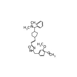 COc1ccc(Cc2noc(C=CC3CCC(C(c4ccccc4)N(C)C)CC3)n2)cc1OC